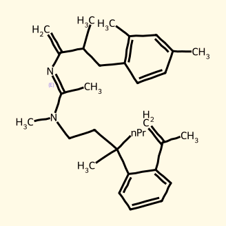 C=C(C)c1ccccc1C(C)(CCC)CCN(C)/C(C)=N/C(=C)C(C)Cc1ccc(C)cc1C